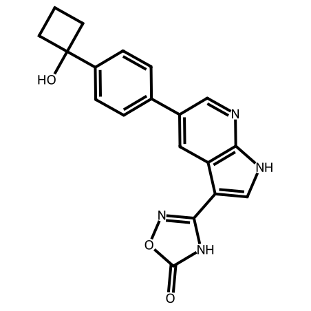 O=c1[nH]c(-c2c[nH]c3ncc(-c4ccc(C5(O)CCC5)cc4)cc23)no1